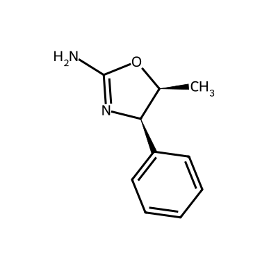 C[C@@H]1OC(N)=N[C@@H]1c1ccccc1